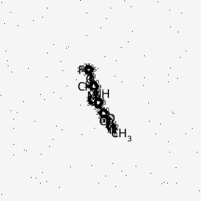 CN1CCN(S(=O)(=O)c2ccc(-c3ccc4c(Nc5ccc(OCc6cccc(F)c6)c(Cl)c5)nccc4c3)cc2)CC1